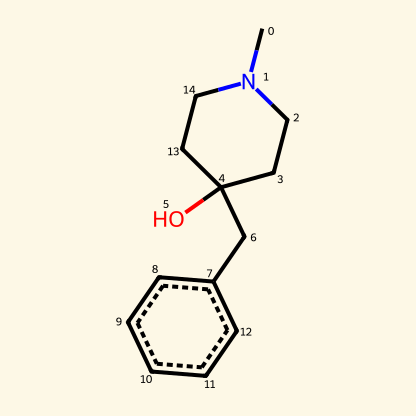 CN1CCC(O)(Cc2ccccc2)CC1